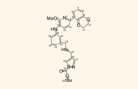 COc1nc(-c2cccc3c2OCCO3)ccc1Nc1cccc(CNCc2cnn(C(=O)OC(C)(C)C)c2)c1